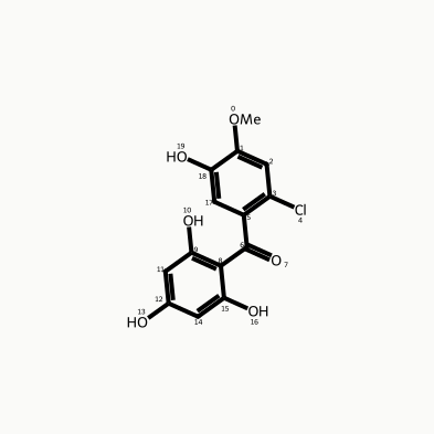 COc1cc(Cl)c(C(=O)c2c(O)cc(O)cc2O)cc1O